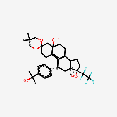 CC1(C)COC2(CCC3=C4C(CCC3(O)C2)C2CC[C@@](O)(C(F)(F)C(F)(F)F)[C@@]2(C)C[C@@H]4c2ccc(C(C)(C)O)cc2)OC1